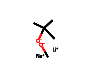 CC(C)(C)[O-].C[O-].[Li+].[Na+]